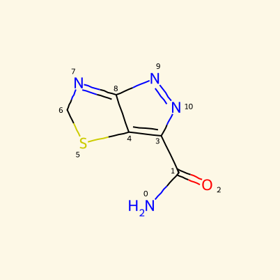 NC(=O)C1=C2SCN=C2N=N1